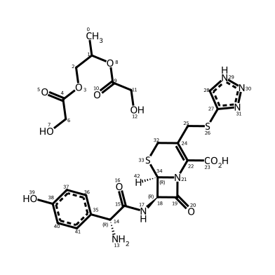 CC(COC(=O)CO)OC(=O)CO.N[C@@H](C(=O)N[C@@H]1C(=O)N2C(C(=O)O)=C(CSc3c[nH]nn3)CS[C@H]12)c1ccc(O)cc1